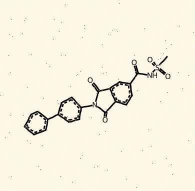 CS(=O)(=O)NC(=O)c1ccc2c(c1)C(=O)N(c1ccc(-c3ccccc3)cc1)C2=O